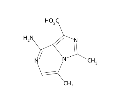 Cc1cnc(N)c2c(C(=O)O)nc(C)n12